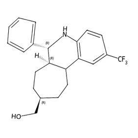 OC[C@@H]1CCC2c3cc(C(F)(F)F)ccc3N[C@@H](c3ccccc3)[C@@H]2CC1